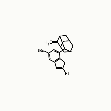 C=C1C2C[C]3CC(C2)CC1C3c1cc(C(C)(C)C)cc2c1CC(CC)=C2